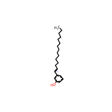 CCCCCCCCCCCCC/C=C/c1cccc(O)c1